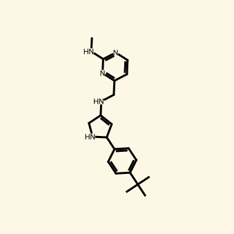 CNc1nccc(CNC2=CC(c3ccc(C(C)(C)C)cc3)NC2)n1